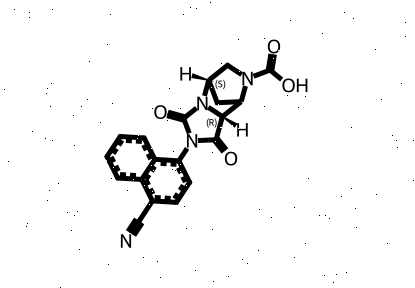 N#Cc1ccc(N2C(=O)[C@H]3C4C[C@@H](CN4C(=O)O)N3C2=O)c2ccccc12